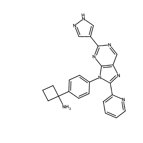 NC1(c2ccc(-n3c(-c4ccccn4)nc4cnc(-c5cn[nH]c5)nc43)cc2)CCC1